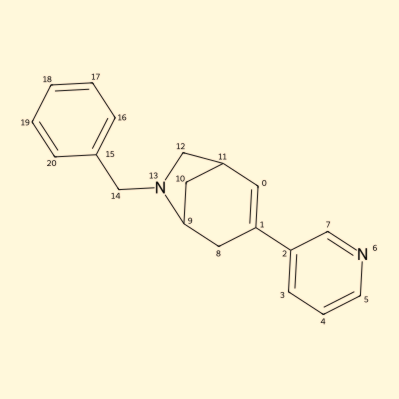 C1=C(c2cccnc2)CC2CC1CN2Cc1ccccc1